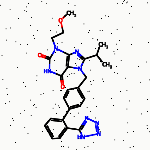 COCCn1c(=O)[nH]c(=O)c2c1nc(C(C)C)n2Cc1ccc(-c2ccccc2-c2nnn[nH]2)cc1